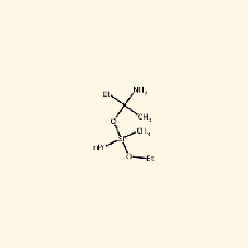 CCC[Si](C)(OCC)OC(C)(N)CC